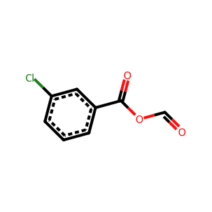 O=COC(=O)c1cccc(Cl)c1